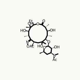 CC[C@H]1OC(=O)[C@H](C)[C@@H](O)[C@H](C)[C@@H](O[C@@H]2O[C@H](C)C[C@H](N(C)C(C)=O)[C@H]2O)C(C)(O)C[C@@H](C)/C(=N\OC(C)=O)[C@H](C)[C@@H](O)[C@]1(C)O